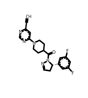 C#Cc1cc(N2CCC(C(=O)N3N=CC[C@H]3c3cc(F)cc(F)c3)CC2)ncn1